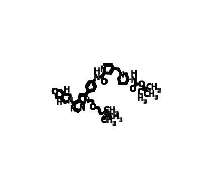 CC(C)(C)OC(=O)N[C@@H]1CCCN(Cc2ccnc(C(=O)Nc3ccc(-c4cc5c(N6C[C@H]7COC[C@H]7C6)ncnc5n4COCC[Si](C)(C)C)cc3)c2)C1